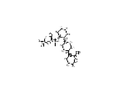 CC(C)(C)OC(=O)N[C@H]1CCCC[C@@H]1N1CCC(N2CCCOC2=O)CC1